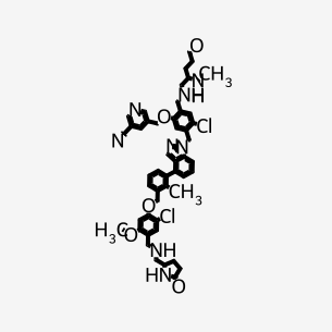 CNC(CCC=O)CNCc1cc(Cl)c(Cn2ncc3c(-c4cccc(COc5cc(OC)c(CNCC6CCC(=O)N6)cc5Cl)c4C)cccc32)cc1OCc1cncc(C#N)c1